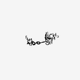 C[C@H](O)c1nccn1C(C#Cc1ccc(-c2ccc(OC3CC3NCCF)cc2)cc1)CO